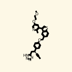 CC#C[C@@H](Cc1nnn[nH]1)c1ccc(OCc2ccc3scc(-c4cc(OCCOC)cnc4C)c3c2)cc1